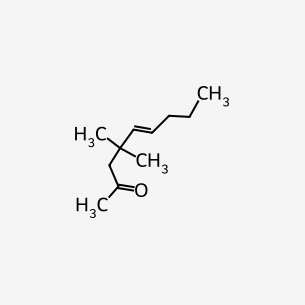 CCCC=CC(C)(C)CC(C)=O